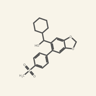 CS(=O)(=O)c1ccc(-c2cc3c(cc2C(O)C2CCCCC2)OCO3)cc1